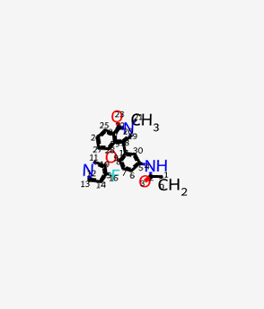 C=CC(=O)Nc1ccc(Oc2cnccc2F)c(-c2cn(C)c(=O)c3ccccc23)c1